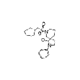 O=C1N(c2ccccc2)CCC12CCCN(S(=O)(=O)CC1CCCCC1)C2